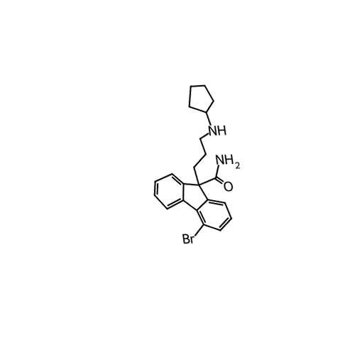 NC(=O)C1(CCCNC2CCCC2)c2ccccc2-c2c(Br)cccc21